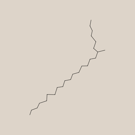 CCCCCCCCCCCCCCCCCC(C)CCCCCC